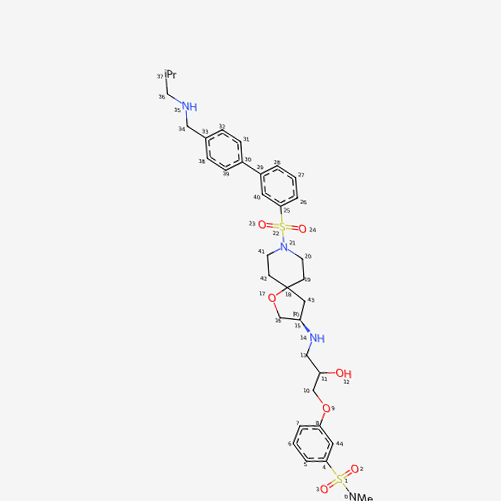 CNS(=O)(=O)c1cccc(OCC(O)CN[C@H]2COC3(CCN(S(=O)(=O)c4cccc(-c5ccc(CNCC(C)C)cc5)c4)CC3)C2)c1